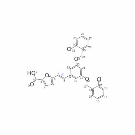 O=C(O)c1ccc(/C=C/c2cc(OCc3ccccc3Cl)cc(OCc3ccccc3Cl)c2)o1